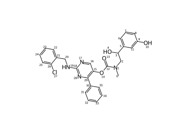 CN(CC(O)c1cccc(O)c1)C(=O)Oc1cnc(NCc2ccccc2Cl)nc1-c1ccccc1